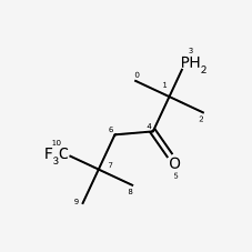 CC(C)(P)C(=O)CC(C)(C)C(F)(F)F